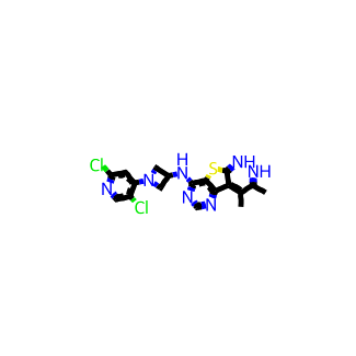 CC(=N)/C(C)=C1\C(=N)Sc2c(NC3CN(c4cc(Cl)ncc4Cl)C3)ncnc21